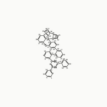 c1ccc(-c2cc(-c3ccccc3-c3ccccc3-c3ccc4c(c3)Sc3ccccc3C43c4ccccc4-c4ccccc43)nc(-c3ccccc3)n2)cc1